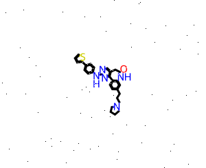 O=C1Cc2cnc(Nc3ccc(-c4cccs4)cc3)nc2-c2ccc(CCCN3CCCC3)cc2N1